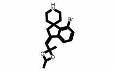 CC1OC(C)(/C=C2/CC3(CCNCC3)c3c(Br)cccc32)O1